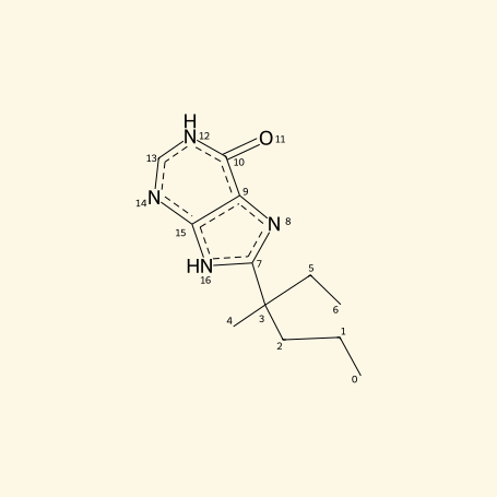 CCCC(C)(CC)c1nc2c(=O)[nH]cnc2[nH]1